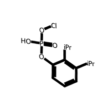 CC(C)c1cccc(OP(=O)(O)OCl)c1C(C)C